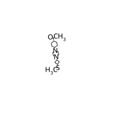 CSC1CC(N2CCN([C@H]3CC[C@H](C(C)=O)CC3)CC2)C1